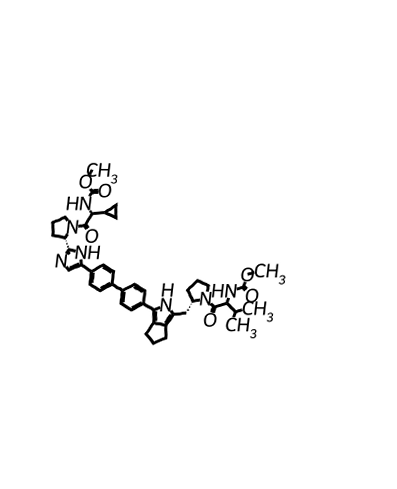 COC(=O)NC(C(=O)N1CCC[C@H]1Cc1[nH]c(-c2ccc(-c3ccc(-c4cnc([C@@H]5CCCN5C(=O)[C@@H](NC(=O)OC)C5CC5)[nH]4)cc3)cc2)c2c1CCC2)C(C)C